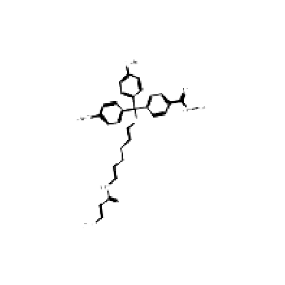 CCCCNC(=O)c1ccc(C(OCCCCCCNC(=O)CCC(=O)O)(c2ccc(OC)cc2)c2ccc(OC)cc2)cc1